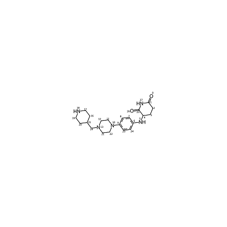 O=C1CCC(Nc2ccc(N3CCN(CC4CCNCC4)CC3)cc2)C(=O)N1